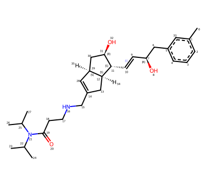 Cc1cccc(C[C@@H](O)/C=C/[C@@H]2[C@H]3CC(CNCCC(=O)N(C(C)C)C(C)C)=C[C@H]3C[C@H]2O)c1